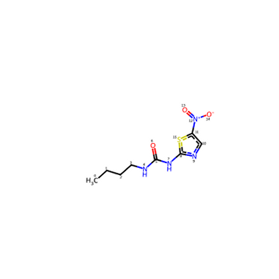 CCCCNC(=O)Nc1ncc([N+](=O)[O-])s1